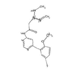 C=NN(CC(=O)Nc1cc(-c2cc(F)ccc2OC)ncn1)NC